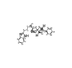 CN(CCCc1nc2ccccc2[nH]1)C(=O)C[C@]1(O)C[C@@H]2CC[C@H]1CN2c1ccccc1